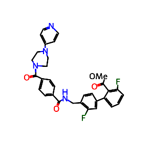 COC(=O)c1c(F)cccc1-c1ccc(CNC(=O)c2ccc(C(=O)N3CCN(c4ccncc4)CC3)cc2)c(F)c1